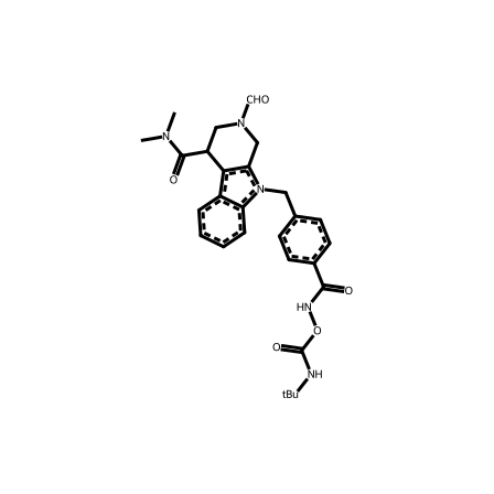 CN(C)C(=O)C1CN(C=O)Cc2c1c1ccccc1n2Cc1ccc(C(=O)NOC(=O)NC(C)(C)C)cc1